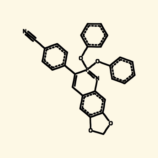 N#Cc1ccc(C2=Cc3cc4c(cc3N=P2(Oc2ccccc2)Oc2ccccc2)OCO4)cc1